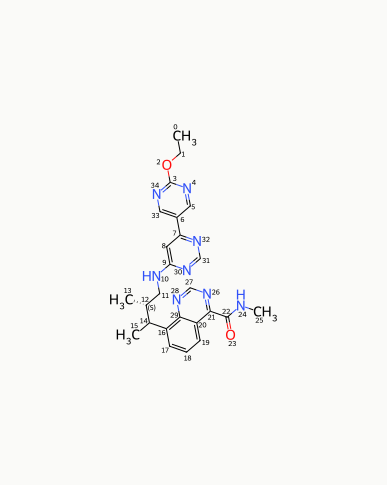 CCOc1ncc(-c2cc(NC[C@@H](C)C(C)c3cccc4c(C(=O)NC)ncnc34)ncn2)cn1